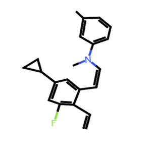 C=Cc1c(F)cc(C2CC2)cc1/C=C\N(C)c1cccc(C)c1